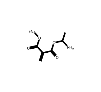 C=C(C(=O)OC(C)N)C(=O)OC(C)(C)C